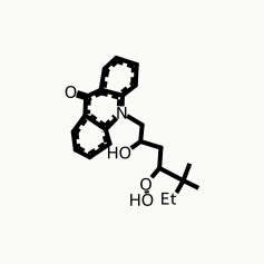 CCC(C)(C)C(CC(O)Cn1c2ccccc2c(=O)c2ccccc21)OO